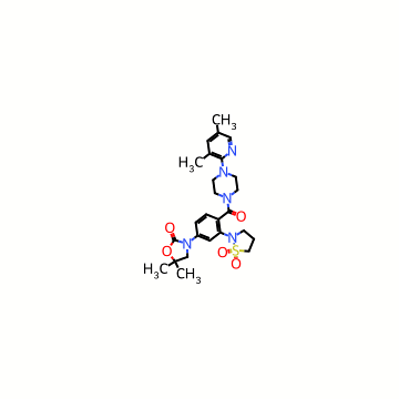 Cc1cnc(N2CCN(C(=O)c3ccc(N4CC(C)(C)OC4=O)cc3N3CCCS3(=O)=O)CC2)c(C)c1